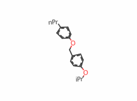 CCCc1ccc(OCc2ccc(OC(C)C)cc2)cc1